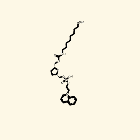 CCCCCCCCCCCCCCCCCCNC(=O)OC[C@H]1CC[C@@H](COP(=O)(O)OCC[n+]2cccc3ccccc32)O1